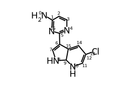 Nc1ccnc(C2=CNC3NC=C(Cl)C=C23)n1